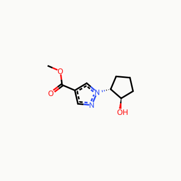 COC(=O)c1cnn([C@@H]2CCC[C@H]2O)c1